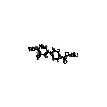 CC(C)(C)OC(=O)N1CCN(c2cnc(C#N)c(F)c2)CC1